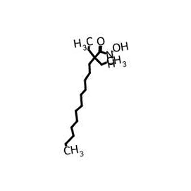 CCCCCCCCCCCCC(CC)(CC)C(=O)NO